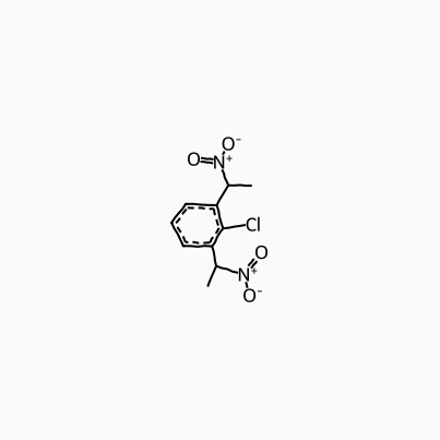 CC(c1cccc(C(C)[N+](=O)[O-])c1Cl)[N+](=O)[O-]